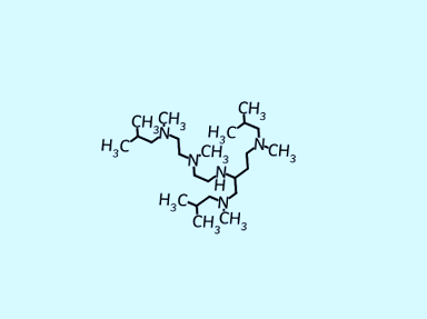 CC(C)CN(C)CCC(CN(C)CC(C)C)NCCN(C)CCN(C)CC(C)C